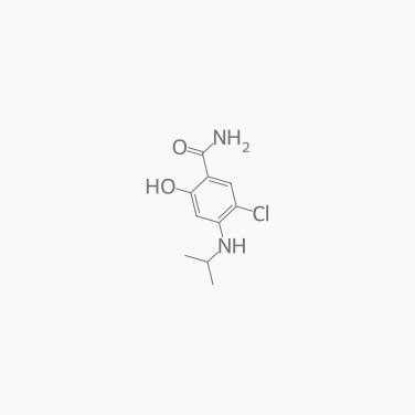 CC(C)Nc1cc(O)c(C(N)=O)cc1Cl